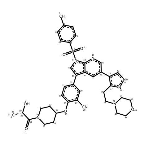 Cc1ccc(S(=O)(=O)n2cc(-c3ccc(OC4CCN(C(=O)[C@H](C)O)CC4)c(C#N)c3)c3cc(-c4c[nH]nc4CCN4CCOCC4)cnc32)cc1